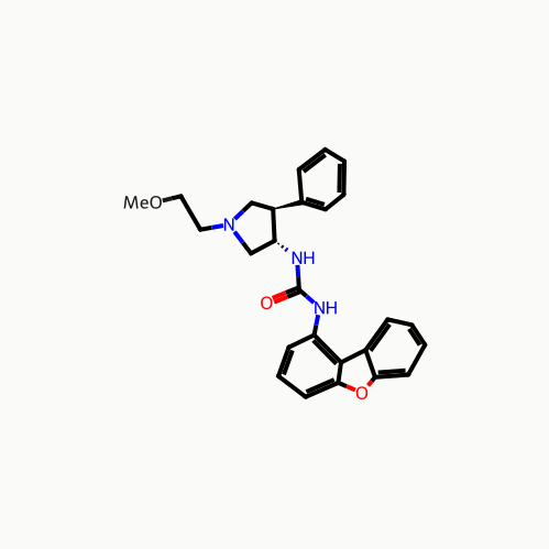 COCCN1C[C@@H](NC(=O)Nc2cccc3oc4ccccc4c23)[C@H](c2ccccc2)C1